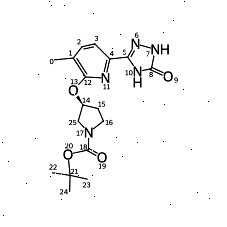 Cc1ccc(-c2n[nH]c(=O)[nH]2)nc1O[C@H]1CCN(C(=O)OC(C)(C)C)C1